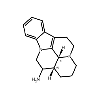 NC1Cn2c3c(c4ccccc42)CCN2CCC[C@H]1[C@H]32